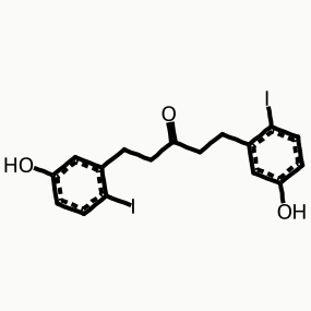 O=C(CCc1cc(O)ccc1I)CCc1cc(O)ccc1I